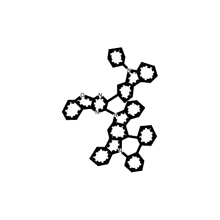 c1ccc(-n2c3ccccc3c3ccc(-c4nc5oc6ccccc6c5nc4-n4c5ccccc5c5c6c7c(cc54)c4ccccc4n7-c4ccccc4-c4ccccc4-6)cc32)cc1